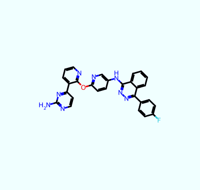 Nc1nccc(-c2cccnc2Oc2ccc(Nc3nnc(-c4ccc(F)cc4)c4ccccc34)cn2)n1